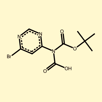 CC(C)(C)OC(=O)N(C(=O)O)c1cc(Br)ncn1